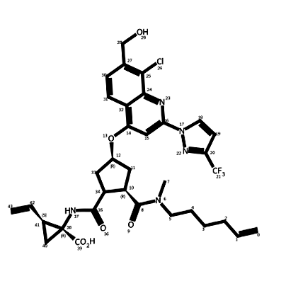 C=CCCCCN(C)C(=O)[C@@H]1C[C@H](Oc2cc(-n3ccc(C(F)(F)F)n3)nc3c(Cl)c(CO)ccc23)CC1C(=O)N[C@]1(C(=O)O)C[C@H]1C=C